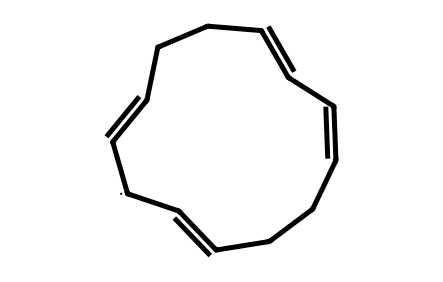 [CH]1/C=C/CC/C=C\C=C\CC/C=C/1